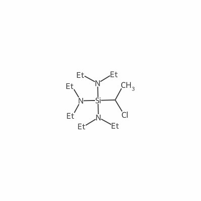 CCN(CC)[Si](C(C)Cl)(N(CC)CC)N(CC)CC